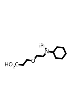 CC(C)N(CCOCCC(=O)O)C1CCCCC1